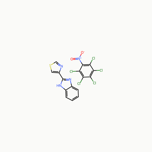 O=[N+]([O-])c1c(Cl)c(Cl)c(Cl)c(Cl)c1Cl.c1ccc2[nH]c(-c3cscn3)nc2c1